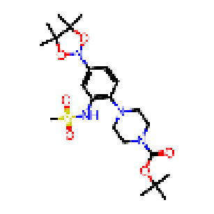 CC(C)(C)OC(=O)N1CCN(c2ccc(N3OC(C)(C)C(C)(C)O3)cc2NS(C)(=O)=O)CC1